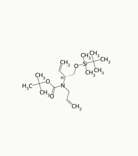 C=CCN(C(=O)OC(C)(C)C)[C@H](C=C)CO[Si](C)(C)C(C)(C)C